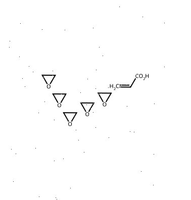 C1CO1.C1CO1.C1CO1.C1CO1.C1CO1.C=CC(=O)O